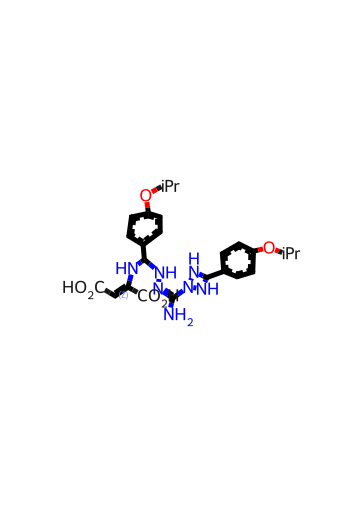 CC(C)Oc1ccc(C(NN=C(N)N2NC(c3ccc(OC(C)C)cc3)N2)N/C(=C\C(=O)O)C(=O)O)cc1